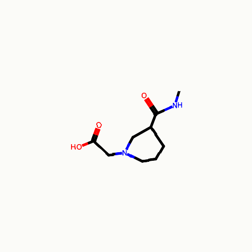 CNC(=O)C1CCCN(CC(=O)O)C1